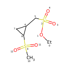 CCOS(=O)(=O)CC1CC1S(C)(=O)=O